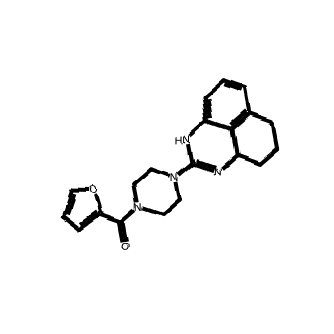 O=C(c1ccco1)N1CCN(C2=NC3CCCc4cccc(c43)N2)CC1